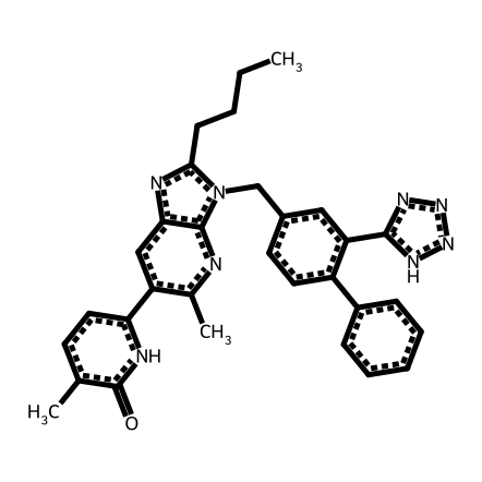 CCCCc1nc2cc(-c3ccc(C)c(=O)[nH]3)c(C)nc2n1Cc1ccc(-c2ccccc2)c(-c2nnn[nH]2)c1